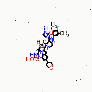 Cc1cc(-n2nc3c(c2-n2cc[nH]c2=O)[C@H](C)N(C(=O)c2cc4cc(C5CCOCC5)ccc4n2[C@@]2(C4=NOC(O)N4)C[C@@H]2C)CC3)cc(C)c1F